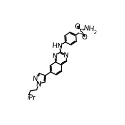 CC(C)CCn1cc(-c2ccc3cnc(Nc4ccc(S(N)(=O)=O)cc4)nc3c2)cn1